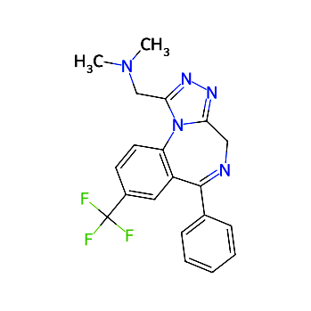 CN(C)Cc1nnc2n1-c1ccc(C(F)(F)F)cc1C(c1ccccc1)=NC2